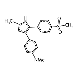 CNc1ccc(-c2cc(C)[nH]c2-c2ccc(S(C)(=O)=O)cc2)cc1